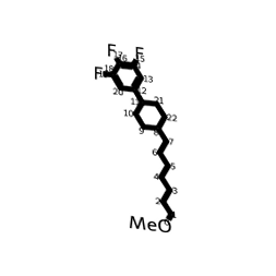 COCCCCCCCC1CCC(c2cc(F)c(F)c(F)c2)CC1